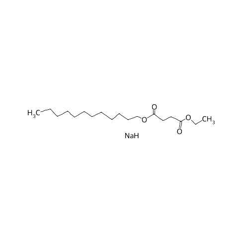 CCCCCCCCCCCCOC(=O)CCC(=O)OCC.[NaH]